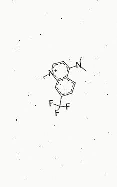 CN(C)c1cc[n+](C)c2cc(C(F)(F)F)ccc12